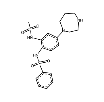 CS(=O)(=O)Nc1cc(N2CCCNCC2)ccc1NS(=O)(=O)c1ccccc1